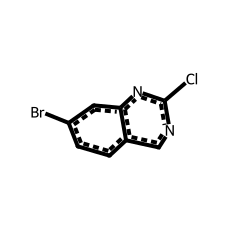 Clc1ncc2ccc(Br)cc2n1